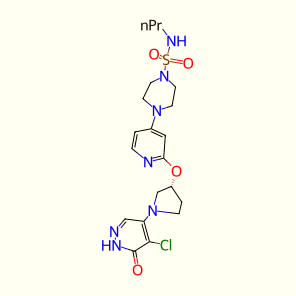 CCCNS(=O)(=O)N1CCN(c2ccnc(O[C@@H]3CCN(c4cn[nH]c(=O)c4Cl)C3)c2)CC1